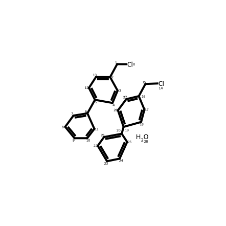 ClCc1ccc(-c2ccccc2)cc1.ClCc1ccc(-c2ccccc2)cc1.O